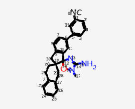 [C-]#[N+]c1cccc(-c2ccc3c(c2)C2(N=C(N)N(C)O2)C2(CCc4ccccc4CC2)C3)c1